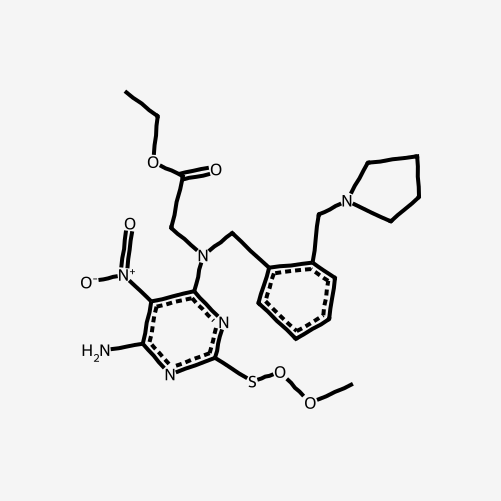 CCOC(=O)CN(Cc1ccccc1CN1CCCC1)c1nc(SOOC)nc(N)c1[N+](=O)[O-]